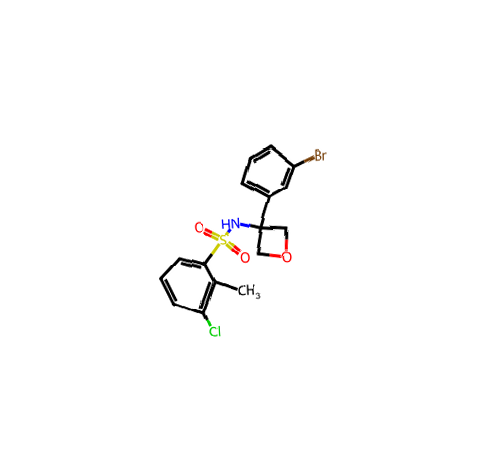 Cc1c(Cl)cccc1S(=O)(=O)NC1(c2cccc(Br)c2)COC1